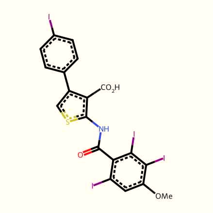 COc1cc(I)c(C(=O)Nc2scc(-c3ccc(I)cc3)c2C(=O)O)c(I)c1I